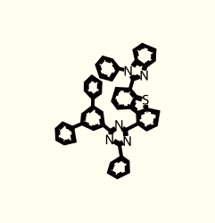 c1ccc(-c2cc(-c3ccccc3)cc(-c3nc(-c4ccccc4)nc(-c4cccc5sc6c(-c7nc8ccccc8n7-c7ccccc7)cccc6c45)n3)c2)cc1